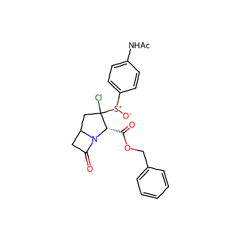 CC(=O)Nc1ccc([S+]([O-])C2(Cl)CC3CC(=O)N3[C@H]2C(=O)OCc2ccccc2)cc1